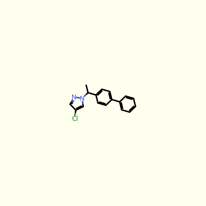 CC(c1ccc(-c2ccccc2)cc1)n1cc(Cl)cn1